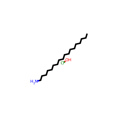 CCCCCCCCCCCCCCCCCCN.OCl